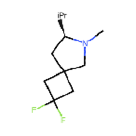 CC(C)[C@@H]1CC2(CN1C)CC(F)(F)C2